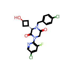 O=C1C([C@H]2C[C@H](O)C2)N(Cc2ccc(Cl)cc2)C(=O)CN1c1ncc(Cl)cc1F